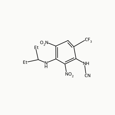 CCC(CC)Nc1c([N+](=O)[O-])cc(C(F)(F)F)c(NC#N)c1[N+](=O)[O-]